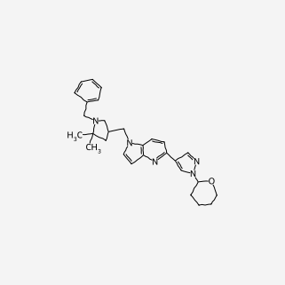 CC1(C)CC(Cn2ccc3nc(-c4cnn(C5CCCCO5)c4)ccc32)CN1Cc1ccccc1